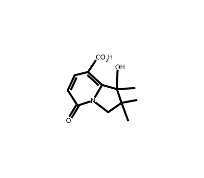 CC1(C)Cn2c(c(C(=O)O)ccc2=O)C1(C)O